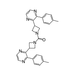 Cc1ccc(-c2nccnc2C2CN(C(=O)N3CC(c4nccnc4-c4ccc(C)cc4)C3)C2)cc1